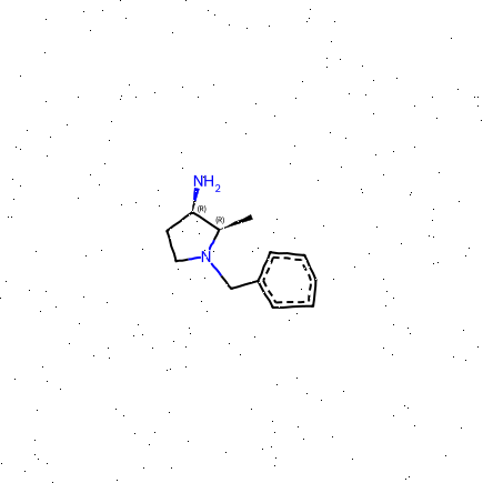 C[C@@H]1[C@H](N)CCN1Cc1ccccc1